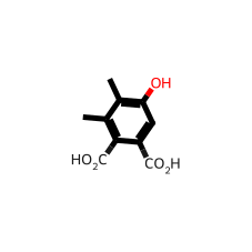 Cc1c(O)cc(C(=O)O)c(C(=O)O)c1C